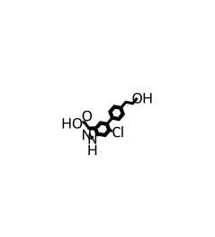 O=C(O)c1n[nH]c2cc(Cl)c(-c3ccc(CCO)cc3)cc12